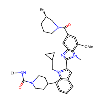 CCNC(=O)N1CCC(c2cccc3cc(-c4nc5cc(C(=O)N6CCC[C@@H](CC)C6)cc(OC)c5n4C)n(CC4CC4)c23)CC1